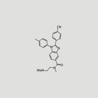 CNCCN(C)C(=O)c1ccc2c(c1)nc(-c1ccc(C#N)cc1)n2-c1ccc(C)cc1